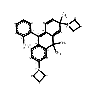 CC1(C)C2=CC(C)(N3CCC3)C=CC2=C(c2ccccc2C(=O)O)c2ccc(N3CCC3)cc21